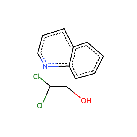 OCC(Cl)Cl.c1ccc2ncccc2c1